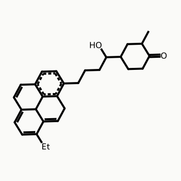 CCC1=CC=C2C=Cc3ccc(CCCC(O)C4CCC(=O)C(C)C4)c4c3C2C1=CC4